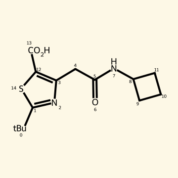 CC(C)(C)c1nc(CC(=O)NC2CCC2)c(C(=O)O)s1